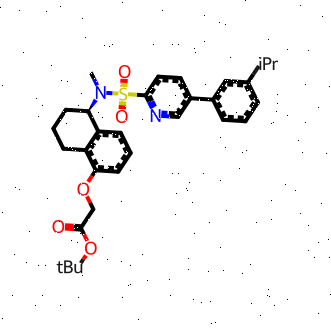 CC(C)c1cccc(-c2ccc(S(=O)(=O)N(C)[C@@H]3CCCc4c(OCC(=O)OC(C)(C)C)cccc43)nc2)c1